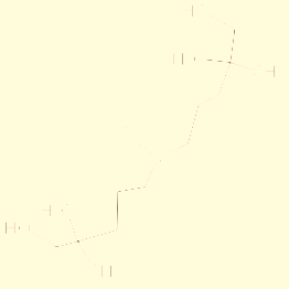 CC(C)(CO)CCC[S+]([O-])CCCC(C)(C)CO